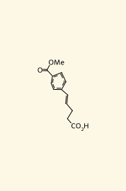 COC(=O)c1ccc(C=CCCC(=O)O)cc1